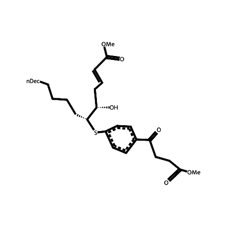 CCCCCCCCCCCCCC[C@@H](Sc1ccc(C(=O)CCC(=O)OC)cc1)[C@@H](O)CC=CC(=O)OC